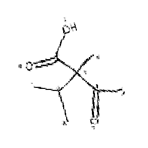 CC(=O)C(C)(C(=O)O)C(C)C